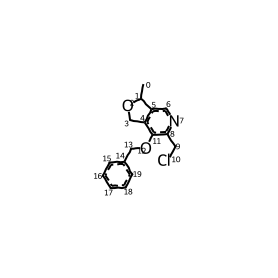 CC1OCc2c1cnc(CCl)c2OCc1ccccc1